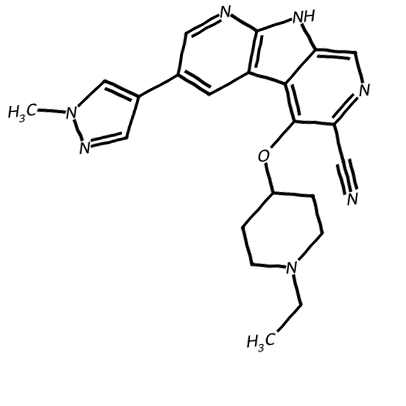 CCN1CCC(Oc2c(C#N)ncc3[nH]c4ncc(-c5cnn(C)c5)cc4c23)CC1